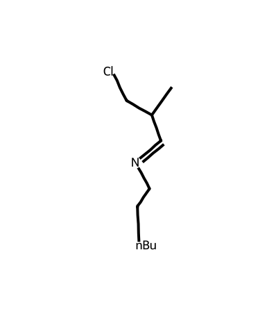 CCCCCCN=CC(C)CCl